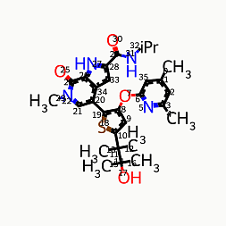 Cc1cc(C)nc(Oc2cc(C(C)(C)C(C)(C)O)sc2-c2cn(C)c(=O)c3[nH]c(C(=O)NC(C)C)cc23)c1